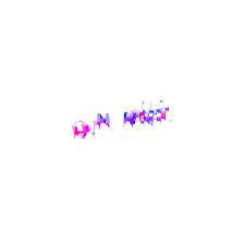 C[C@@H]1CN(c2ncc(-c3ccc4c(n3)N(Cc3cccnc3C#N)C(C)(C)C4=O)cn2)CCN1C(=O)Cc1cn(CCCCCCCCCn2cc(-c3cccc(Oc4ccc(C(=O)ON5C(=O)CCC5=O)cn4)c3)nn2)nn1